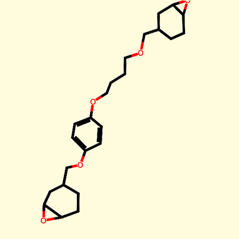 c1cc(OCC2CCC3OC3C2)ccc1OCCCCOCC1CCC2OC2C1